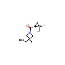 CC1(CC#N)CN(C(=O)[C@@H]2CC2(F)F)C1